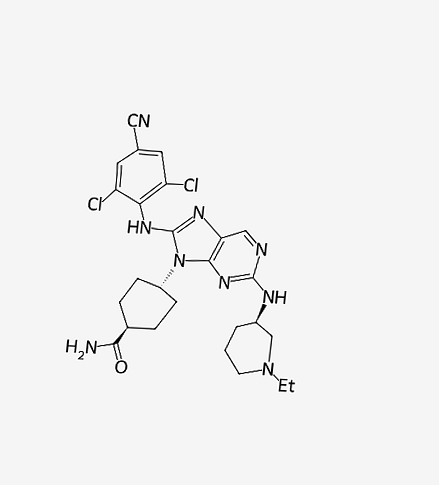 CCN1CCC[C@@H](Nc2ncc3nc(Nc4c(Cl)cc(C#N)cc4Cl)n([C@H]4CC[C@H](C(N)=O)CC4)c3n2)C1